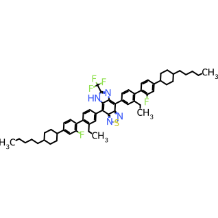 CCCCCC1CCC(c2ccc(-c3ccc(-c4c5nsnc5c(-c5ccc(-c6ccc(C7CCC(CCCCC)CC7)cc6F)c(CC)c5)c5[nH]c(C(F)(F)F)nc45)cc3CC)c(F)c2)CC1